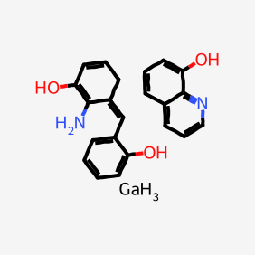 NC1=C(O)C=CCC1=Cc1ccccc1O.Oc1cccc2cccnc12.[GaH3]